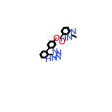 Cc1nc2cccc(C(=O)Oc3ccc(-c4ccccc4-c4nnn[nH]4)cc3)c2[nH]1